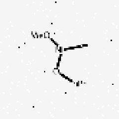 CCC[O][Ni]([CH3])[O]C